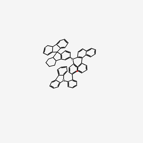 C1=CCC2C(=C1)C1(c3ccccc32)c2ccc(N(c3ccc(-c4ccccc4-n4c5ccccc5c5ccccc54)cc3)c3ccc4ccccc4c3-c3ccccc3)cc2C2CCCCC21